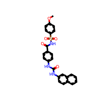 COc1ccc(S(=O)(=O)NC(=O)c2ccc(NC(=O)Nc3ccc4ccccc4c3)cc2)cc1